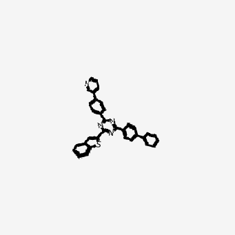 c1ccc(-c2ccc(-c3nc(-c4ccc(-c5cccnc5)cc4)nc(-c4cc5ccccc5s4)n3)cc2)cc1